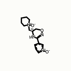 [O-][n+]1cccc(C2=NOC[C@H](C[N+]3([O-])CCCCC3)N2)c1